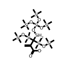 C=C(C([O])=O)C([SiH2]O[Si](O[Si](C)(C)C)(O[Si](C)(C)C)O[Si](C)(C)C)([Si](C)(C)O[Si](C)(C)C)[Si](C)(C)O[Si](C)(C)C